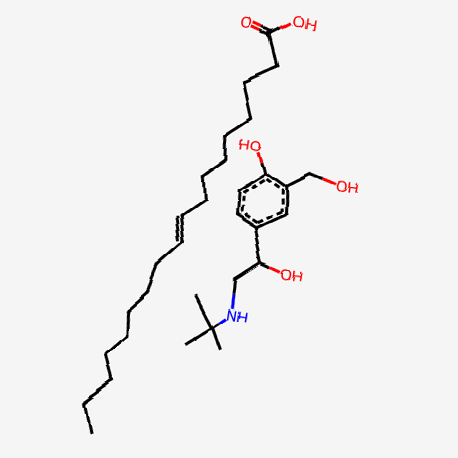 CC(C)(C)NCC(O)c1ccc(O)c(CO)c1.CCCCCCCCC=CCCCCCCCC(=O)O